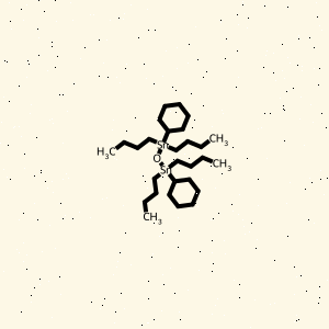 CCC[CH2][Sn]([CH2]CCC)([O][Sn]([CH2]CCC)([CH2]CCC)[CH]1CCCCC1)[CH]1CCCCC1